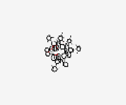 Cc1cc(C)c(N2c3cc4c(cc3B3c5cc6c(cc5Oc5cc(-c7c(C)cccc7C)cc2c53)N(c2ccccc2)c2cc(-c3c(C)cccc3C)cc3c2B6c2cccc(-c5ccccc5)c2O3)B2c3cccc(-c5ccccc5)c3Oc3cc(-c5c(C)cccc5C)cc(c32)N4c2c(C)cc(C)cc2C)c(C)c1